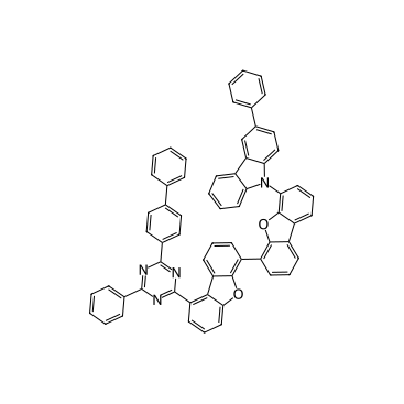 c1ccc(-c2ccc(-c3nc(-c4ccccc4)nc(-c4cccc5oc6c(-c7cccc8c7oc7c(-n9c%10ccccc%10c%10cc(-c%11ccccc%11)ccc%109)cccc78)cccc6c45)n3)cc2)cc1